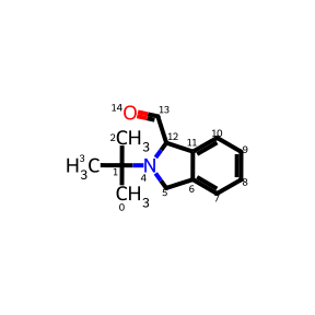 CC(C)(C)N1Cc2ccccc2C1C=O